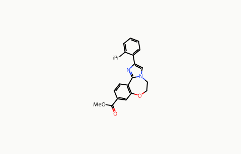 COC(=O)c1ccc2c(c1)OCCn1cc(-c3ccccc3C(C)C)nc1-2